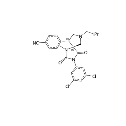 CC(C)CN1C[C@@H](c2ccc(C#N)cc2)[C@]2(C1)C(=O)N(c1cc(Cl)cc(Cl)c1)C(=O)N2C